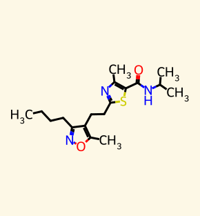 CCCCc1noc(C)c1CCc1nc(C)c(C(=O)NC(C)C)s1